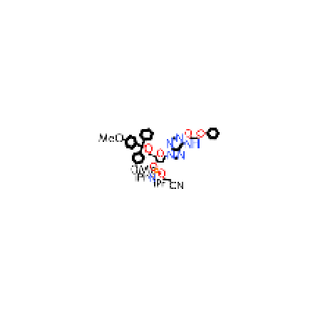 COc1ccc(C(OC[C@H]2O[C@@H](n3cnc4c(NC(=O)COc5ccccc5)ncnc43)C[C@H]2OP(OCCC#N)N(C(C)C)C(C)C)(c2ccccc2)c2ccc(OC)cc2)cc1